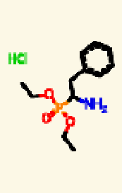 CCOP(=O)(OCC)C(N)Cc1ccccc1.Cl